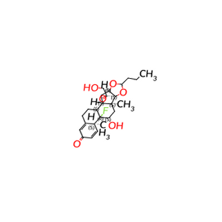 CCCC1O[C@@H]2C[C@H]3[C@@H]4CCC5=CC(=O)C=C[C@]5(C)[C@@]4(F)[C@@H](O)C[C@]3(C)[C@]2(C(=O)CO)O1